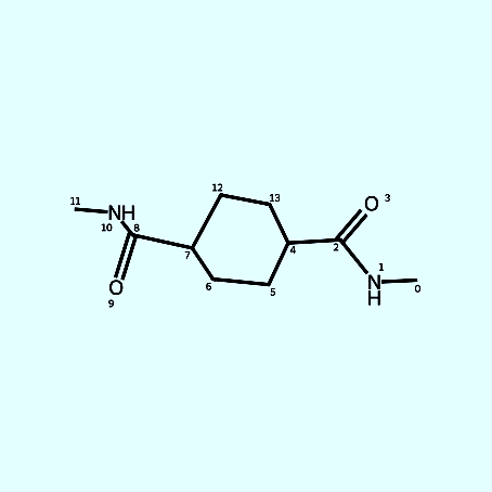 CNC(=O)C1CCC(C(=O)NC)CC1